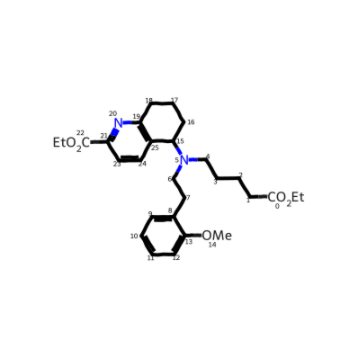 CCOC(=O)CCCCN(CCc1ccccc1OC)C1CCCc2nc(C(=O)OCC)ccc21